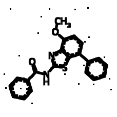 COc1ccc(-c2ccccc2)c2sc(NC(=O)c3ccccc3)nc12